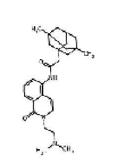 CN(C)CCn1ccc2c(NC(=O)CC34CC5CC(C)(CC(C)(C5)C3)C4)cccc2c1=O